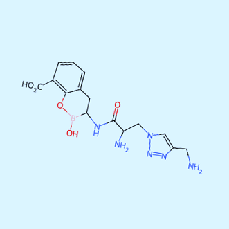 NCc1cn(CC(N)C(=O)NC2Cc3cccc(C(=O)O)c3OB2O)nn1